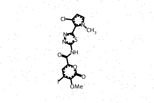 COc1c(I)cc(C(=O)Nc2nnc(-c3c(Cl)ccn3C)s2)oc1=O